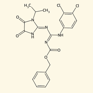 CC(C)N1C(=O)C(=O)NC1=NC(=NC(=O)OCc1ccccc1)Nc1ccc(Cl)c(Cl)c1